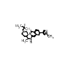 C=C(Nc1cc2cc(-c3cnn(C)c3)ccc2cn1)C1CCN(CC(C)(C)F)CC1